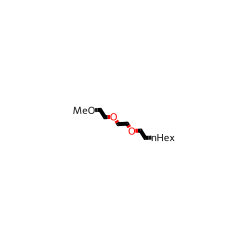 CCCCCCCCOCCOCCOC